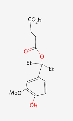 CCC(CC)(OC(=O)CCC(=O)O)c1ccc(O)c(OC)c1